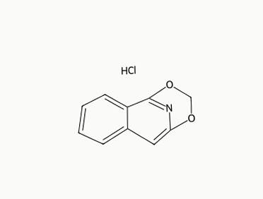 Cl.c1ccc2c3nc(cc2c1)OCO3